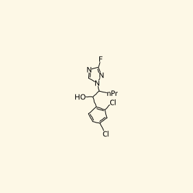 CCCC(C(O)c1ccc(Cl)cc1Cl)n1cnc(F)n1